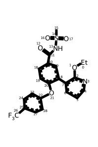 CCOc1ncccc1-c1cc(C(=O)NS(C)(=O)=O)ccc1Oc1ccc(C(F)(F)F)cc1